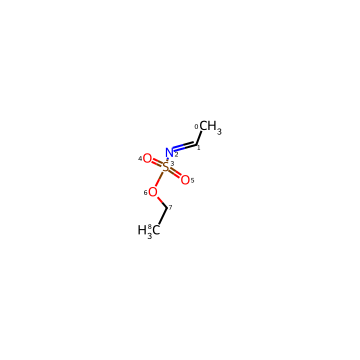 CC=NS(=O)(=O)OCC